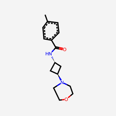 Cc1ccc(C(=O)N[C@H]2C[C@H](N3CCOCC3)C2)cc1